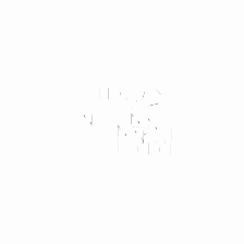 COc1ccccc1-c1nc(NCCCN2CCCC2)nc(C(Cl)(Cl)Cl)n1